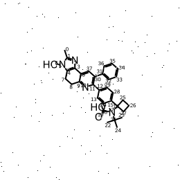 Cc1nc2c(n1O)CCc1nc(-c3ccc(C4(N(C(=O)O)C(C)(C)C)CCC4)cc3)c(-c3ccccc3)cc1-2